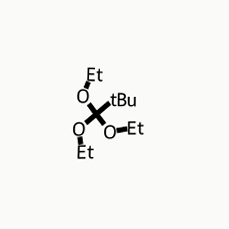 CCOC(OCC)(OCC)C(C)(C)C